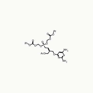 CC(=O)OC/C(=C\CP(=O)(OCOC(=O)OC(C)C)OCOC(=O)OC(C)C)COc1cc(N)nc(N)n1